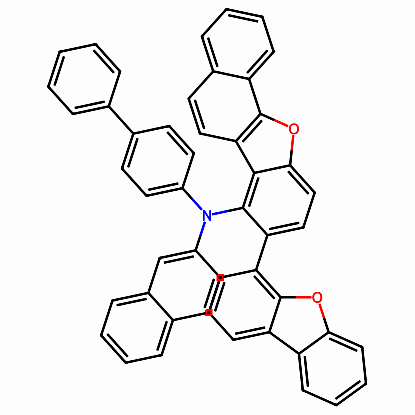 c1ccc(-c2ccc(N(c3ccc4ccccc4c3)c3c(-c4cccc5c4oc4ccccc45)ccc4oc5c6ccccc6ccc5c34)cc2)cc1